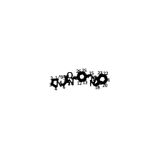 C[C@H]1CCCN1Cc1coc(-c2ccc(Cn3ncc4ccccc43)cc2)n1